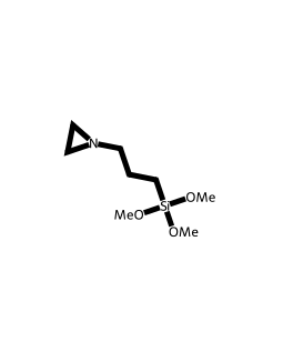 CO[Si](CCCN1CC1)(OC)OC